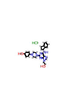 Cl.OCCn1cnc2c(N[C@@H]3CCc4ccccc43)nc(N3CCN(c4ccc(O)cc4)CC3)nc21